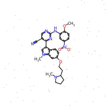 COc1ccc([N+](=O)[O-])cc1Nc1ncc(C#N)c(-c2cn(C)c3cc(OCCC4CCCN4C)ccc23)n1